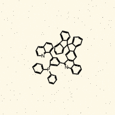 c1ccc(P(c2ccccc2)c2cc(-c3nc4ccccc4c4cc5c(cc34)C3(c4ccccc4-c4ccccc43)c3ccccc3-5)cc(-c3cccc4cccnc34)c2)cc1